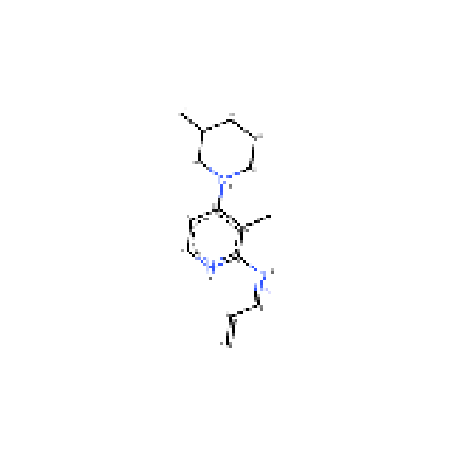 C=C/C=N\c1nccc(N2CCCC(C)C2)c1C